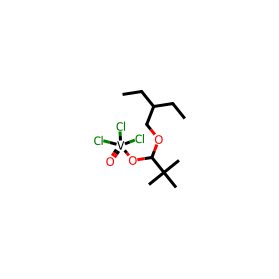 CCC(CC)COC([O][V](=[O])([Cl])([Cl])[Cl])C(C)(C)C